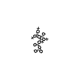 CC(C)(C)c1ccc(-n2c3ccc(C(C)(C)C)cc3c3cc4c(cc32)N(c2ccccc2)c2cc(C(C)(C)C)cc3c2B4c2ccc(N(c4ccccc4)c4ccc5c6ccccc6n(-c6ccccc6)c5c4)cc2C3(C)C)cc1